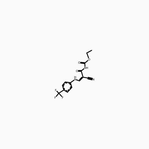 CCOC(=O)NC(=O)C(C#N)=CNc1ccc(C(F)(F)F)cc1